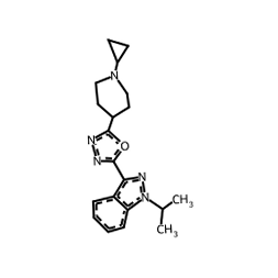 CC(C)n1nc(-c2nnc(C3CCN(C4CC4)CC3)o2)c2ccccc21